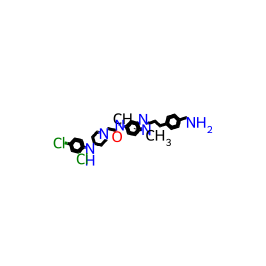 CN(C(=O)CN1CCC(Nc2ccc(Cl)cc2Cl)CC1)c1ccc2c(c1)nc(CCc1ccc(CN)cc1)n2C